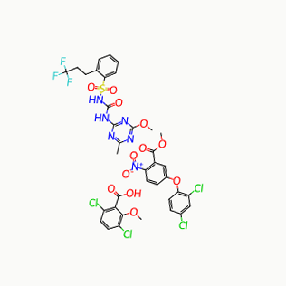 COC(=O)c1cc(Oc2ccc(Cl)cc2Cl)ccc1[N+](=O)[O-].COc1c(Cl)ccc(Cl)c1C(=O)O.COc1nc(C)nc(NC(=O)NS(=O)(=O)c2ccccc2CCC(F)(F)F)n1